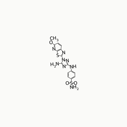 COc1ccc2nc(-n3nc(Nc4ccc(S(N)(=O)=O)cc4)nc3N)sc2n1